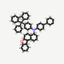 c1ccc(-c2ccc(N(c3ccc(C4(c5ccccc5)c5ccccc5-c5ccccc54)cc3)c3cccc4c3ccc3oc5ccccc5c34)cc2)cc1